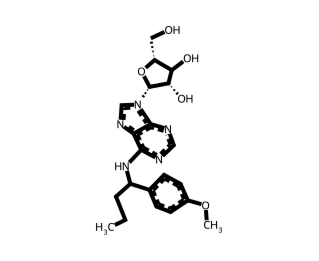 CCCC(Nc1ncnc2c1ncn2[C@@H]1O[C@H](CO)C(O)[C@@H]1O)c1ccc(OC)cc1